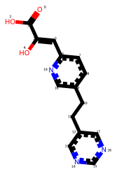 O=C(O)/C(O)=C/c1ccc(CCc2cncnc2)cn1